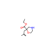 C=C(C)CC1(C(=O)OCC)CNCCO1